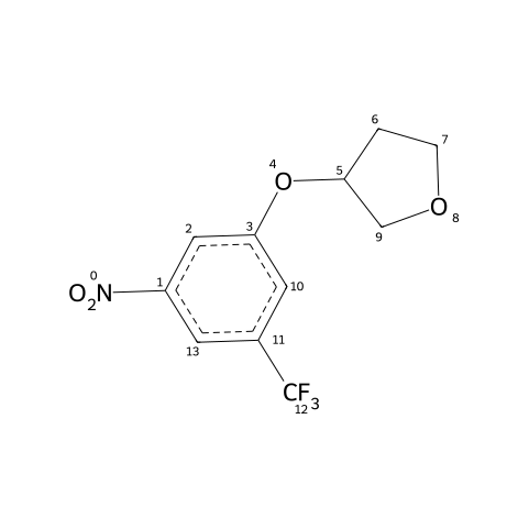 O=[N+]([O-])c1cc(OC2CCOC2)cc(C(F)(F)F)c1